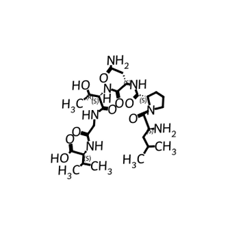 CC(C)C[C@H](N)C(=O)N1CCC[C@H]1C(=O)N[C@@H](CC(N)=O)C(=O)N[C@H](C(=O)NCC(=O)N[C@H](C(=O)O)C(C)C)[C@@H](C)O